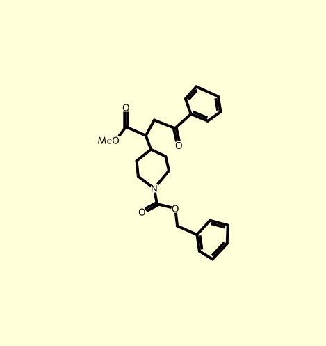 COC(=O)C(CC(=O)c1ccccc1)C1CCN(C(=O)OCc2ccccc2)CC1